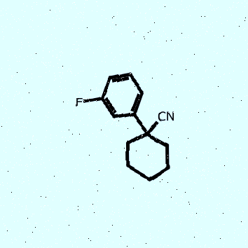 N#CC1(c2cccc(F)c2)CCCCC1